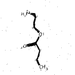 CCCC(=O)OCCN